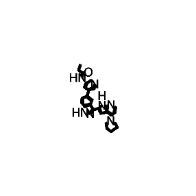 CCC(=O)Nc1cncc(-c2ccc3[nH]nc(-c4cc5c(N6CCCCC6)ccnc5[nH]4)c3c2)c1